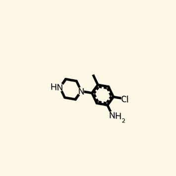 Cc1cc(Cl)c(N)cc1N1CCNCC1